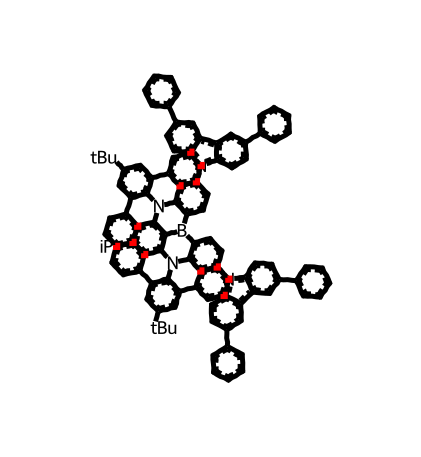 CC(C)c1cc2c3c(c1)N(c1c(-c4ccccc4)cc(C(C)(C)C)cc1-c1ccccc1)c1cc(-n4c5ccc(-c6ccccc6)cc5c5cc(-c6ccccc6)ccc54)ccc1B3c1ccc(-n3c4ccc(-c5ccccc5)cc4c4cc(-c5ccccc5)ccc43)cc1N2c1c(-c2ccccc2)cc(C(C)(C)C)cc1-c1ccccc1